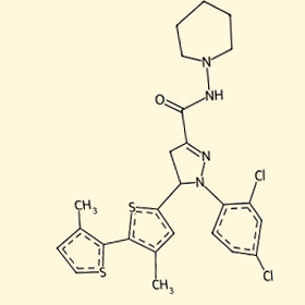 Cc1ccsc1-c1sc(C2CC(C(=O)NN3CCCCC3)=NN2c2ccc(Cl)cc2Cl)cc1C